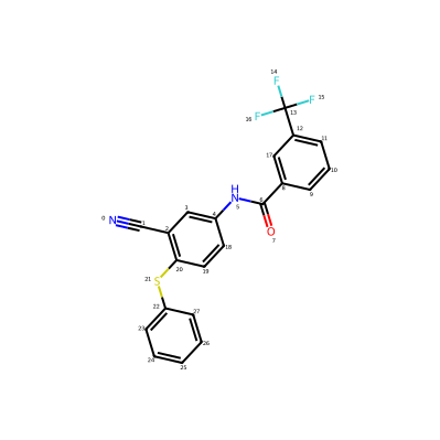 N#Cc1cc(NC(=O)c2cccc(C(F)(F)F)c2)ccc1Sc1ccccc1